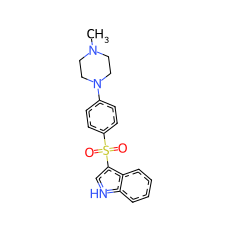 CN1CCN(c2ccc(S(=O)(=O)c3c[nH]c4ccccc34)cc2)CC1